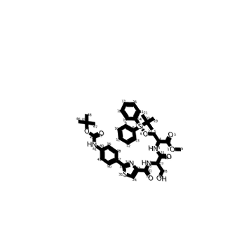 COC(=O)C(CO[Si](c1ccccc1)(c1ccccc1)C(C)(C)C)NC(=O)C(CO)NC(=O)c1csc(-c2ccc(NC(=O)OC(C)(C)C)cc2)n1